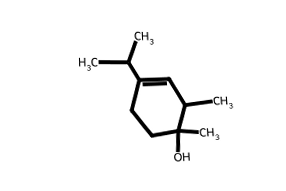 CC(C)C1=CC(C)C(C)(O)CC1